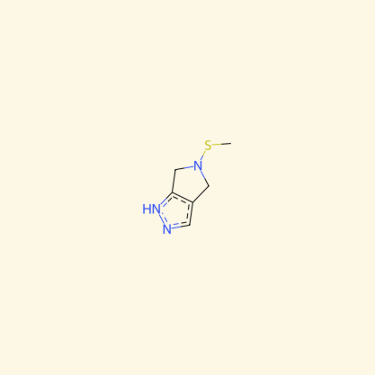 CSN1Cc2cn[nH]c2C1